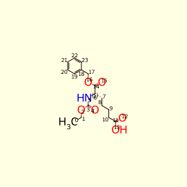 CCOC(=O)N[C@@H](CCCCC(=O)O)C(=O)OCc1ccccc1